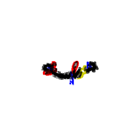 O=C(CCSSCc1ccccn1)NCCCCCCC(=O)ON1C(=O)CCCC1=O